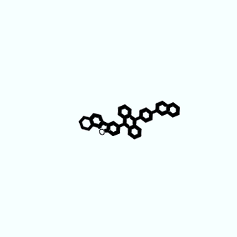 c1ccc2cc(-c3ccc(-c4c5ccccc5c(-c5ccc6oc7c8c(ccc7c6c5)CCCC8)c5ccccc45)cc3)ccc2c1